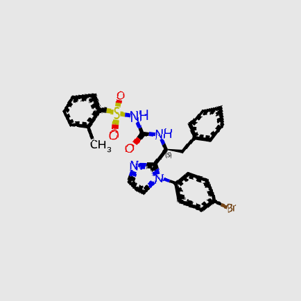 Cc1ccccc1S(=O)(=O)NC(=O)N[C@@H](Cc1ccccc1)c1nccn1-c1ccc(Br)cc1